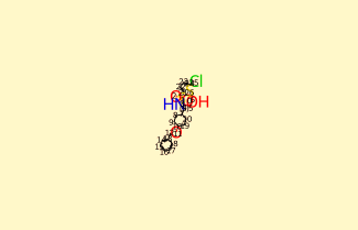 O=S(=O)(N[C@H](CO)C1CCC(OCc2ccccc2)CC1)c1ccc(Cl)s1